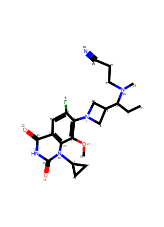 CCC(C1CN(c2c(F)cc3c(=O)[nH]c(=O)n(C4CC4)c3c2OC)C1)N(C)CCC#N